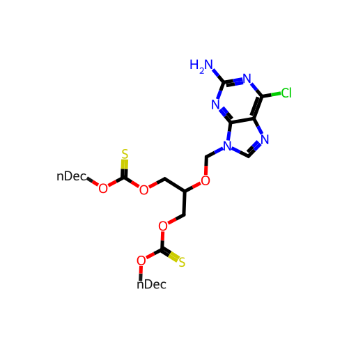 CCCCCCCCCCOC(=S)OCC(COC(=S)OCCCCCCCCCC)OCn1cnc2c(Cl)nc(N)nc21